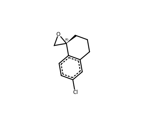 Clc1ccc2c(c1)CCC[C@]21CO1